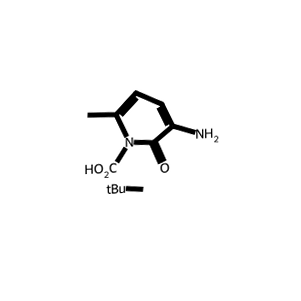 CC(C)(C)C.Cc1ccc(N)c(=O)n1C(=O)O